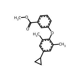 COC(=O)c1cccc(Oc2c(C)cc(C3CC3)cc2C)c1